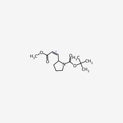 COC(=O)/C=C\C1CCCN1C(=O)OC(C)(C)C